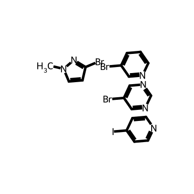 Brc1cccnc1.Brc1cncnc1.Cn1ccc(Br)n1.Ic1ccncc1